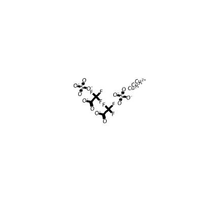 O=C([O-])C(F)(F)F.O=C([O-])C(F)(F)F.O=S(=O)([O-])[O-].O=S(=O)([O-])[O-].[Cu+2].[Cu+2].[Cu+2]